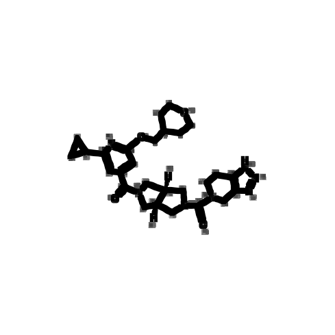 O=C(c1cc(OCC2CCOCC2)nc(C2CC2)c1)N1C[C@H]2CN(C(=O)N3CCc4[nH]nnc4C3)C[C@@H]2C1